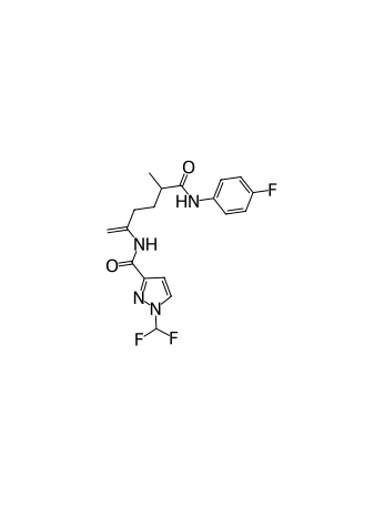 C=C(CCC(C)C(=O)Nc1ccc(F)cc1)NC(=O)c1ccn(C(F)F)n1